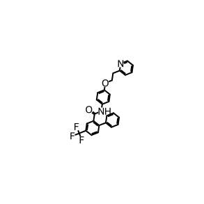 O=C(Nc1ccc(OCCc2ccccn2)cc1)c1cc(C(F)(F)F)ccc1-c1ccccc1